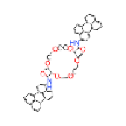 C=C1OCCOCCOC(C(=O)Nc2ccc3c4c(cccc24)C2CC=Cc4cccc-3c42)C(C)OCCOCCOC1C(=O)Nc1ccc2c3cccc4cccc(c5cccc1c52)c43